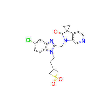 O=C1N(Cc2nc3cc(Cl)ccc3n2CCC2CS(=O)(=O)C2)c2cnccc2C12CC2